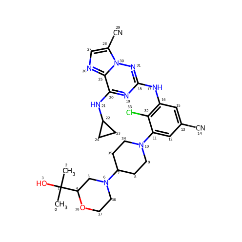 CC(C)(O)C1CN(C2CCN(c3cc(C#N)cc(Nc4nc(NC5CC5)c5ncc(C#N)n5n4)c3Cl)CC2)CCO1